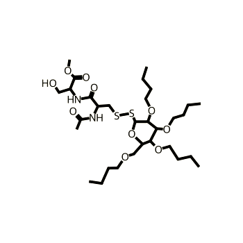 CCCCOCC1OC(SSCC(NC(C)=O)C(=O)NC(CO)C(=O)OC)C(OCCCC)C(OCCCC)C1OCCCC